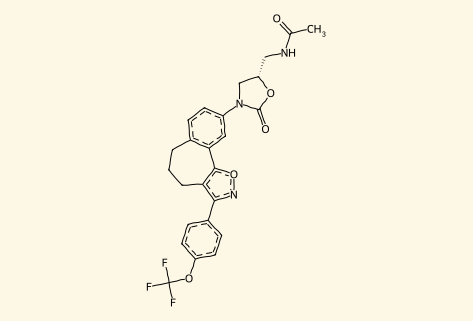 CC(=O)NC[C@H]1CN(c2ccc3c(c2)-c2onc(-c4ccc(OC(F)(F)F)cc4)c2CCC3)C(=O)O1